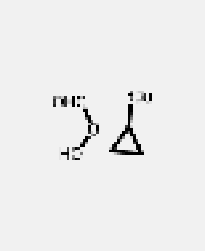 CC(C)(C)C1CC1.O=COO